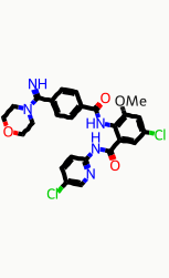 COc1cc(Cl)cc(C(=O)Nc2ccc(Cl)cn2)c1NC(=O)c1ccc(C(=N)N2CCOCC2)cc1